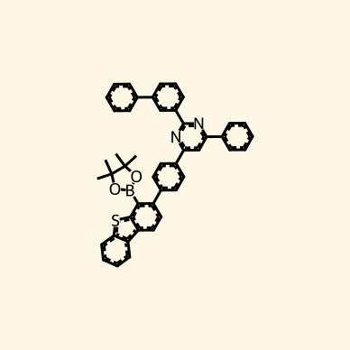 CC1(C)OB(c2c(-c3ccc(-c4cc(-c5ccccc5)nc(-c5cccc(-c6ccccc6)c5)n4)cc3)ccc3c2sc2ccccc23)OC1(C)C